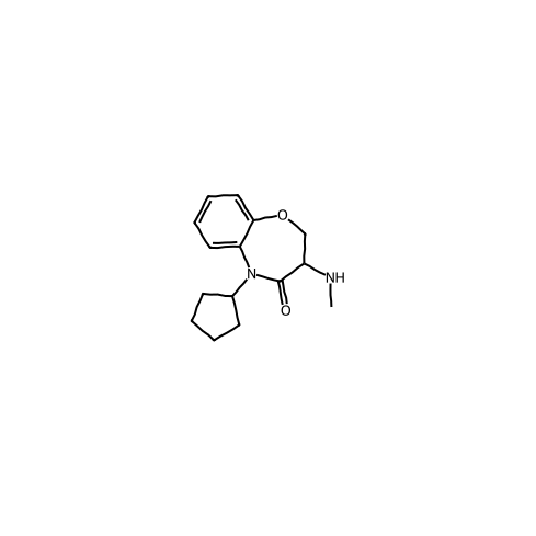 CNC1COc2ccccc2N(C2CCCC2)C1=O